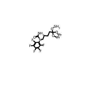 CC(C)OC(CCCCN(C(N)=O)c1c(F)c(F)c(F)c(F)c1F)(O[SiH3])OC(C)C